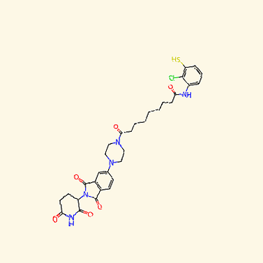 O=C1CCC(N2C(=O)c3ccc(N4CCN(C(=O)CCCCCCCC(=O)Nc5cccc(S)c5Cl)CC4)cc3C2=O)C(=O)N1